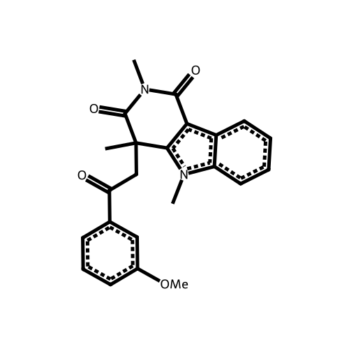 COc1cccc(C(=O)CC2(C)C(=O)N(C)C(=O)c3c2n(C)c2ccccc32)c1